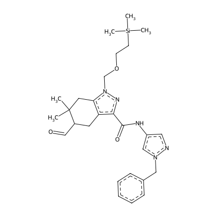 CC1(C)Cc2c(c(C(=O)Nc3cnn(Cc4ccccc4)c3)nn2COCC[Si](C)(C)C)CC1C=O